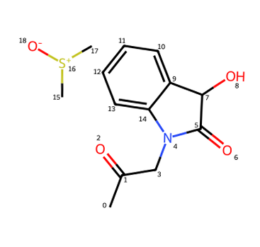 CC(=O)CN1C(=O)C(O)c2ccccc21.C[S+](C)[O-]